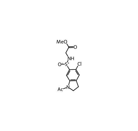 COC(=O)CN[S+]([O-])c1cc2c(cc1Cl)CCN2C(C)=O